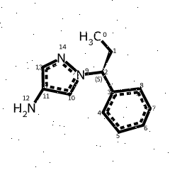 CC[C@@H](c1ccccc1)n1cc(N)cn1